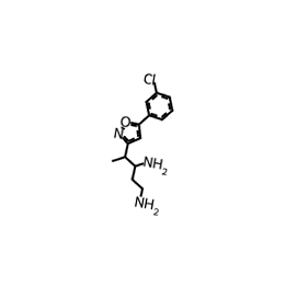 CC(c1cc(-c2cccc(Cl)c2)on1)C(N)CCN